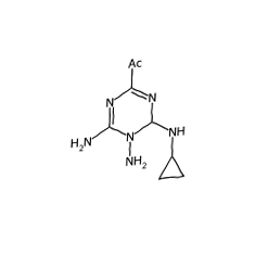 CC(=O)C1=NC(NC2CC2)N(N)C(N)=N1